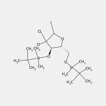 CC(C)(C)[Si](C)(C)OC[C@H]1OC(I)C(Cl)(Cl)[C@@H]1O[Si](C)(C)C(C)(C)C